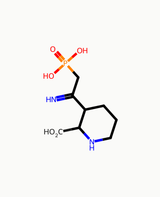 N=C(CP(=O)(O)O)C1CCCNC1C(=O)O